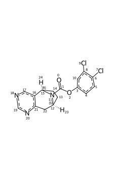 O=C(Oc1ccc(Cl)c(Cl)c1)N1[C@H]2CC[C@@H]1c1cncnc1C2